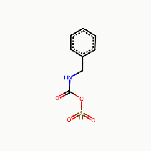 O=C(NCc1ccccc1)O[SH](=O)=O